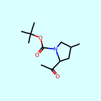 CC(=O)C1CC(C)CN1C(=O)OC(C)(C)C